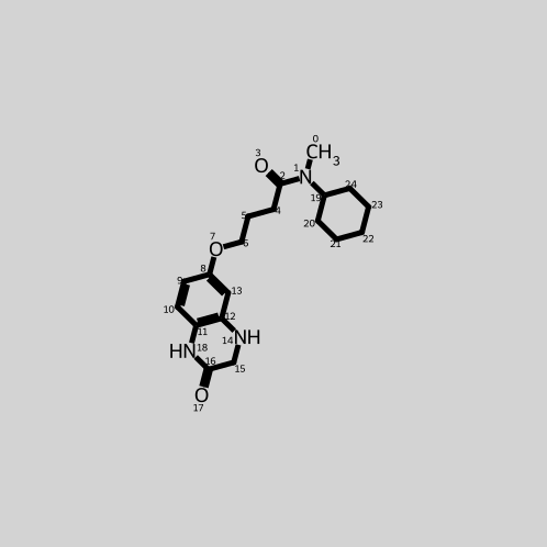 CN(C(=O)CCCOc1ccc2c(c1)NCC(=O)N2)C1CCCCC1